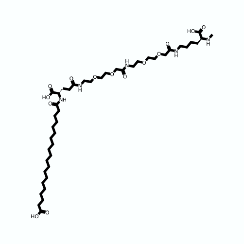 CN[C@@H](CCCCNC(=O)COCCOCCNC(=O)COCCOCCNC(=O)CC[C@H](NC(=O)CCCCCCCCCCCCCCCCCCC(=O)O)C(=O)O)C(=O)O